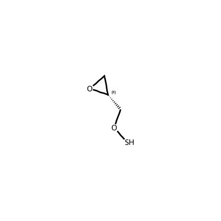 SOC[C@H]1CO1